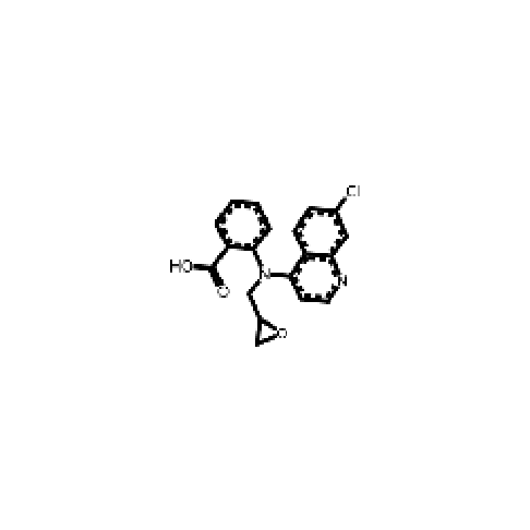 O=C(O)c1ccccc1N(CC1CO1)c1ccnc2cc(Cl)ccc12